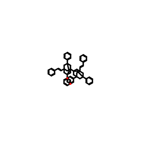 C(=CC12CC3(c4ccccc4)CC(c4ccccc4)(C1)CC(C14CC5(C=Cc6ccccc6)CC(c6ccccc6)(CC(c6ccccc6)(C5)C1)C4)(C2)C3)c1ccccc1